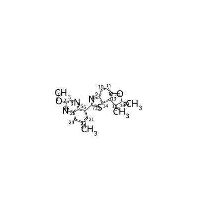 COc1cnc2c(-c3nc4ccc5c(c4s3)C(C)C(C)O5)cc(C)cc2n1